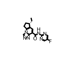 CC[C@H]1CCc2c1cc(C(=O)Nc1ncc(F)cn1)c1nncn21